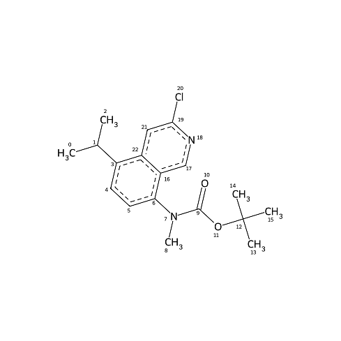 CC(C)c1ccc(N(C)C(=O)OC(C)(C)C)c2cnc(Cl)cc12